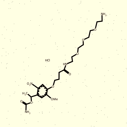 COc1cc(C(C)OC(N)=O)c([N+](=O)[O-])cc1OCCCC(=O)NCCOCCOCCOCCN.Cl